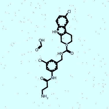 NCCC(=O)Nc1cc(Cl)cc(CNC(=O)N2CCc3c([nH]c4ccc(Cl)cc34)C2)c1.O=CO